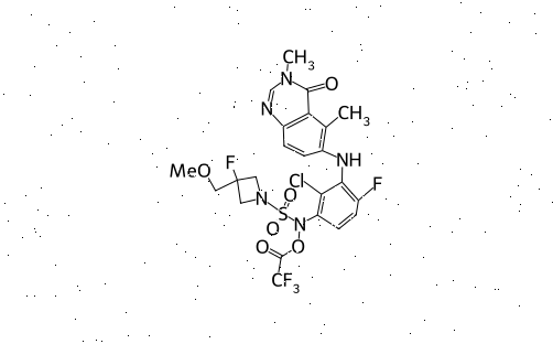 COCC1(F)CN(S(=O)(=O)N(OC(=O)C(F)(F)F)c2ccc(F)c(Nc3ccc4ncn(C)c(=O)c4c3C)c2Cl)C1